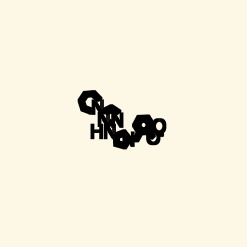 c1cc(CN2CCC(Nc3nccc(N4CCCCCC4)n3)C2)c2c(c1)OCO2